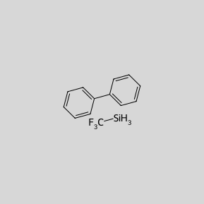 FC(F)(F)[SiH3].c1ccc(-c2ccccc2)cc1